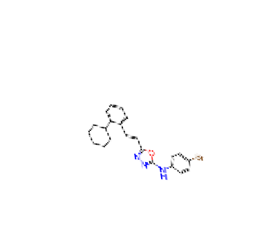 Brc1ccc(Nc2nnc(/C=C/c3ccccc3C3CCCCC3)o2)cc1